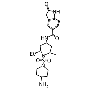 CC[C@H]1C[C@@H](NC(=O)c2ccc3c(c2)CC(=O)N3)C[C@@H](F)N1S(=O)(=O)N1CCC(N)CC1